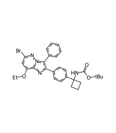 CCOc1cc(Br)nn2c(-c3ccccc3)c(-c3ccc(C4(NC(=O)OC(C)(C)C)CCC4)cc3)nc12